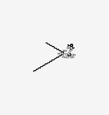 CCCCCCCCCCCCCCCCCCCCCCCCCCN[C@@H](CO[C@H]1O[C@H](COC(=S)Nc2c(C(C)C)cccc2C(C)C)[C@H](O)[C@H](O)[C@H]1O)[C@H](O)[C@H](O)CCCCCCCCCCCCCC